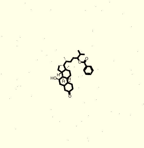 CC(C)C(CC[C@@H](C)[C@H]1CC[C@H]2[C@@H]3[C@H](O)CC4CC(=O)CC[C@]4(C)[C@H]3CC[C@]12C)OC(=O)c1ccccc1